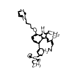 C=c1[nH]c2c(OCCCn3ccnc3)ccc(C3=CC(S(=O)(=O)CC)=CCC3)c2/c1=C/C(Cl)=C\N